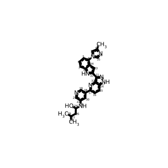 Cc1cn(-c2cccc3[nH]c(-c4n[nH]c5ccc(-c6cncc(NC(O)CC(C)C)c6)nc45)cc23)cn1